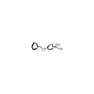 O[C@@H](CBr)c1ccc(OCc2ccccc2)cc1